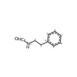 O=[C]NCCc1ccccc1